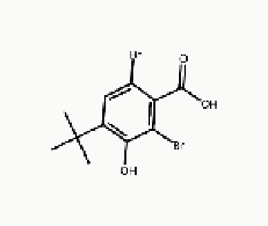 CC(C)(C)c1cc(Br)c(C(=O)O)c(Br)c1O